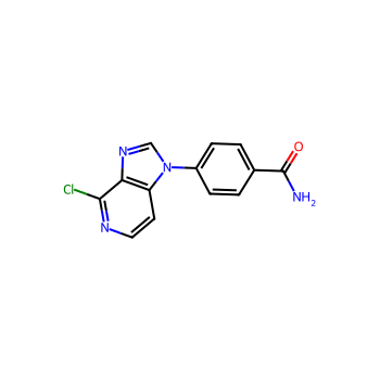 NC(=O)c1ccc(-n2cnc3c(Cl)nccc32)cc1